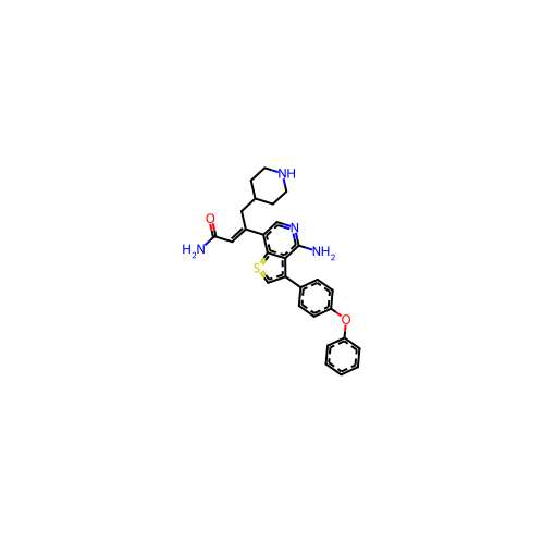 NC(=O)C=C(CC1CCNCC1)c1cnc(N)c2c(-c3ccc(Oc4ccccc4)cc3)csc12